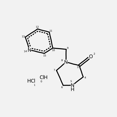 Cl.Cl.O=C1CNCCN1Cc1cccnc1